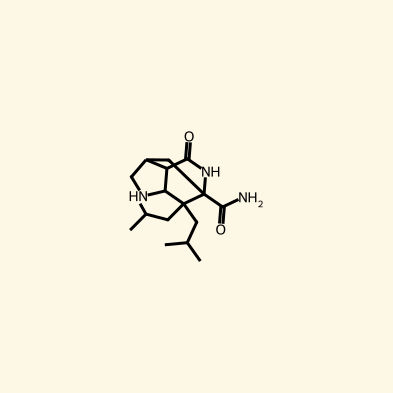 CC(C)CC1(CC(C)C)C2NCC3CC1(C(N)=O)NC(=O)C32